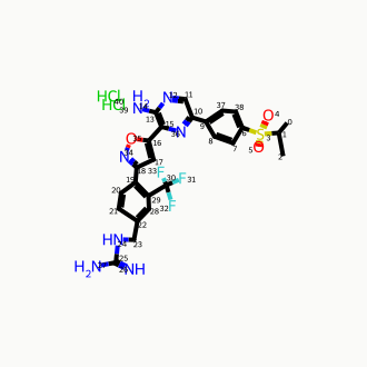 CC(C)S(=O)(=O)c1ccc(-c2cnc(N)c(-c3cc(-c4ccc(CNC(=N)N)cc4C(F)(F)F)no3)n2)cc1.Cl.Cl